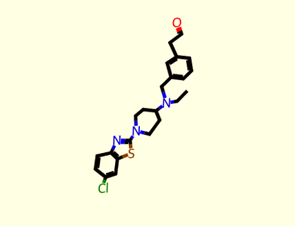 CCN(Cc1cccc(CC=O)c1)C1CCN(c2nc3ccc(Cl)cc3s2)CC1